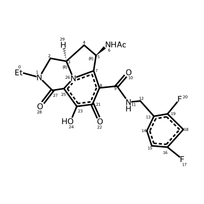 CCN1C[C@H]2C[C@@H](NC(C)=O)c3c(C(=O)NCc4ccc(F)cc4F)c(=O)c(O)c(n32)C1=O